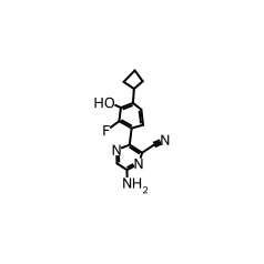 N#Cc1nc(N)cnc1-c1ccc(C2CCC2)c(O)c1F